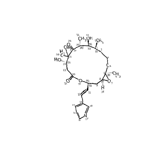 C[C@H]1CCC[C@@]2(C)O[C@H]2C[C@@H](C=Cc2cccnc2)OC(=O)C[C@H](O)C(C)(C)C(=O)[C@H](C)[C@H]1O